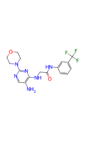 Nc1cnc(N2CCOCC2)nc1NCC(=O)Nc1cccc(C(F)(F)F)c1